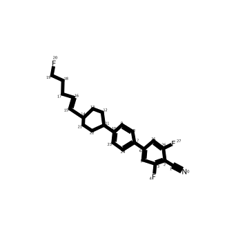 N#Cc1c(F)cc(-c2ccc(C3CCC(/C=C/CCCF)CC3)cc2)cc1F